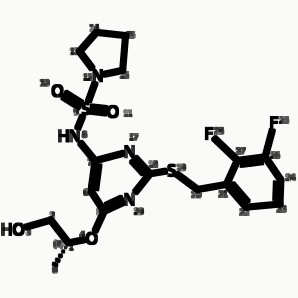 C[C@H](CO)Oc1cc(NS(=O)(=O)N2CCCC2)nc(SCc2cccc(F)c2F)n1